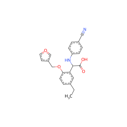 CCc1ccc(OCc2ccoc2)c(C(Nc2ccc(C#N)cc2)C(=O)O)c1